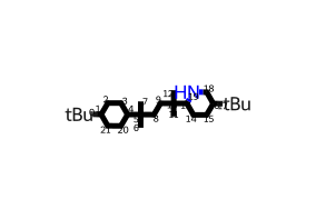 CC(C)(C)C1CCC(C(C)(C)CCC(C)(C)C2CCC(C(C)(C)C)CN2)CC1